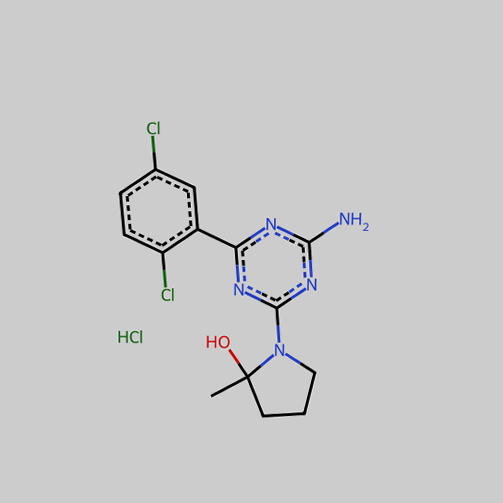 CC1(O)CCCN1c1nc(N)nc(-c2cc(Cl)ccc2Cl)n1.Cl